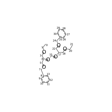 CCOCC(COCc1ccccc1)OCOC(COCC)COCc1ccccc1